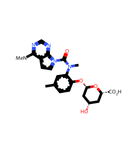 CNc1ncnc2c1ccn2C(=O)N(C)c1cc(C)ccc1O[C@H]1C[C@@H](O)C[C@@H](C(=O)O)O1